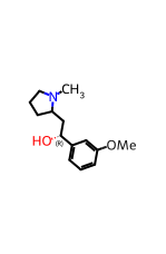 COc1cccc([C@H](O)CC2CCCN2C)c1